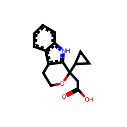 O=C(O)CC1(C2CC2)OCCc2c1[nH]c1ccccc21